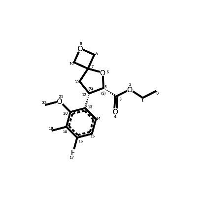 CCOC(=O)[C@H]1OC2(COC2)C[C@H]1c1ccc(F)c(C)c1OC